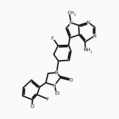 CCN1C(=O)N(C2C=CC(c3cn(C)c4ncnc(N)c34)=C(F)C2)CC1c1cccc(Cl)c1F